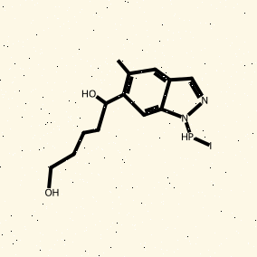 Cc1cc2cnn(PI)c2cc1C(O)CCCCO